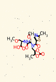 COCC(NC(=O)[C@H](COC)N(Cc1oc(=O)oc1C)C(=O)c1cnc(C)s1)C(=O)O